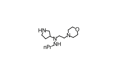 CCCNN(CCN1CCOCC1)C1CCNC1